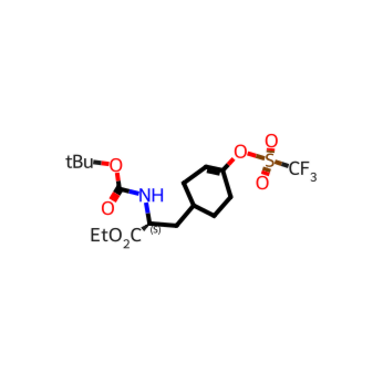 CCOC(=O)[C@H](CC1CC=C(OS(=O)(=O)C(F)(F)F)CC1)NC(=O)OC(C)(C)C